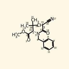 COC(=O)[C@@H](N(Cc1ccccc1)C(=O)CC#N)C(C)(C)C